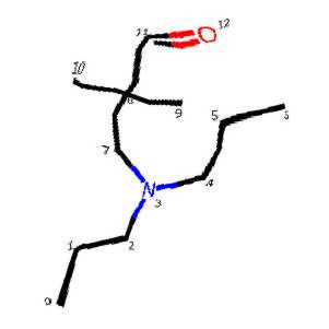 CCCN(CCC)CC(C)(C)C=O